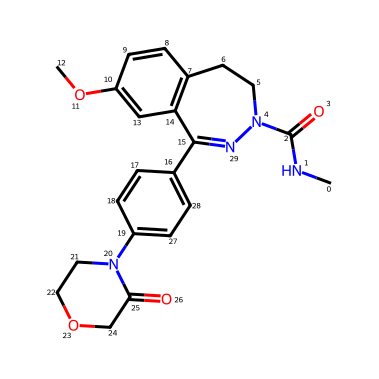 CNC(=O)N1CCc2ccc(OC)cc2C(c2ccc(N3CCOCC3=O)cc2)=N1